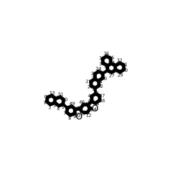 c1ccc2cc(-c3ccc4oc5cc6oc7ccc(-c8ccc9ccc(-c%10cc%11ccccc%11c%11ccccc%10%11)cc9c8)cc7c6cc5c4c3)ccc2c1